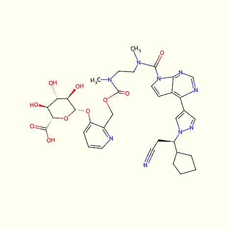 CN(CCN(C)C(=O)n1ccc2c(-c3cnn([C@H](CC#N)C4CCCC4)c3)ncnc21)C(=O)OCc1ncccc1O[C@@H]1O[C@H](C(=O)O)[C@@H](O)[C@H](O)[C@H]1O